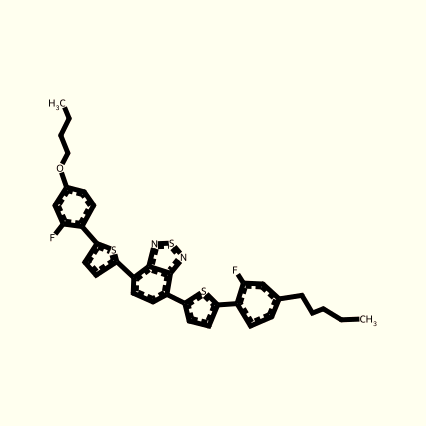 CCCCCc1ccc(-c2ccc(-c3ccc(-c4ccc(-c5ccc(OCCCC)cc5F)s4)c4nsnc34)s2)c(F)c1